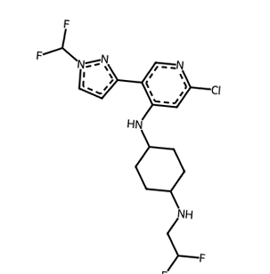 FC(F)CNC1CCC(Nc2cc(Cl)ncc2-c2ccn(C(F)F)n2)CC1